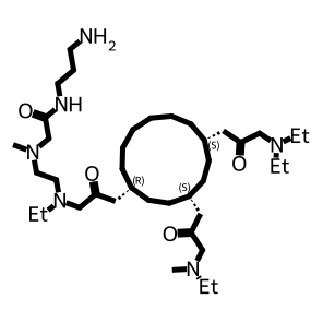 CCN(C)CC(=O)C[C@H]1CC[C@@H](CC(=O)CN(CC)CC)CCCCCC[C@@H](CC(=O)CN(CC)CCN(C)CC(=O)NCCCN)CC1